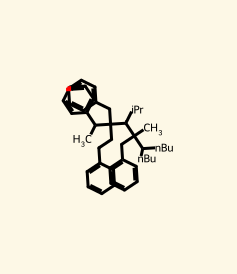 CCCCC(CCCC)C(C)(Cc1ccccc1)[C](C(C)C)C(CCc1ccccc1)(Cc1ccccc1)C(C)c1ccccc1